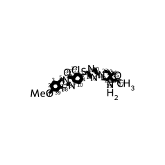 COc1ccc(Cn2cnc3ccc(Sc4cnc(N5CCC6(CC5)CO[C@@H](C)[C@H]6N)cn4)c(Cl)c3c2=O)c(F)c1